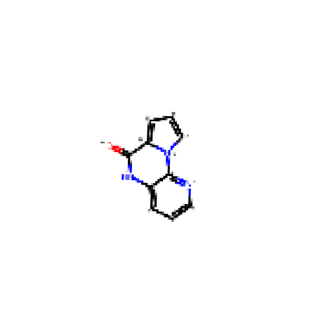 O=c1[nH]c2cccnc2n2cccc12